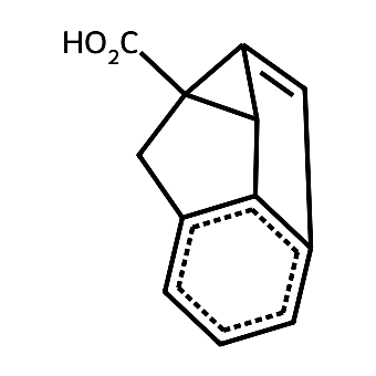 O=C(O)C12Cc3cccc4c3C1C2=C4